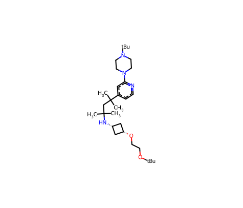 CC(C)(CC(C)(C)c1ccnc(N2CCN(C(C)(C)C)CC2)c1)N[C@H]1C[C@@H](OCCOC(C)(C)C)C1